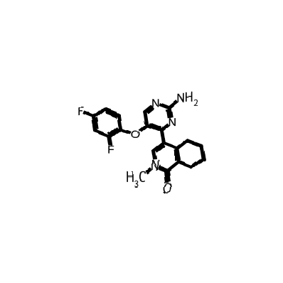 Cn1cc(-c2nc(N)ncc2Oc2ccc(F)cc2F)c2c(c1=O)CCCC2